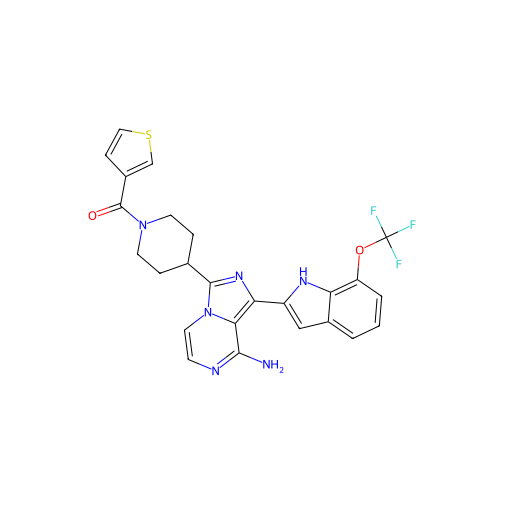 Nc1nccn2c(C3CCN(C(=O)c4ccsc4)CC3)nc(-c3cc4cccc(OC(F)(F)F)c4[nH]3)c12